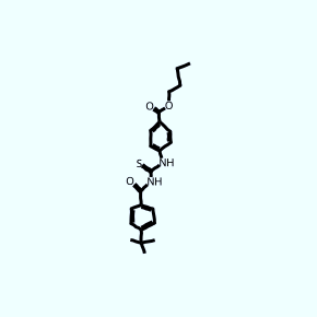 CCCCOC(=O)c1ccc(NC(=S)NC(=O)c2ccc(C(C)(C)C)cc2)cc1